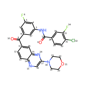 O=C(Nc1cc(F)cc(C(=O)c2ccc3ncc(N4CCOCC4)nc3c2)c1)c1ccc(Cl)c(F)c1